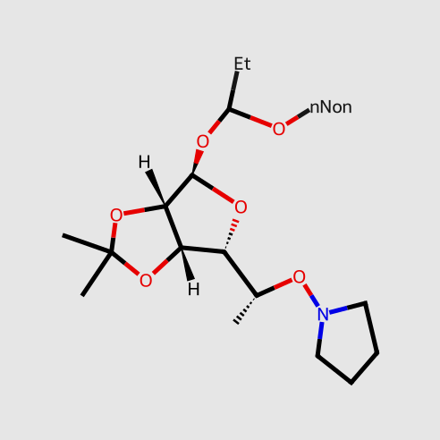 CCCCCCCCCOC(CC)O[C@H]1O[C@H]([C@@H](C)ON2CCCC2)[C@@H]2OC(C)(C)O[C@H]12